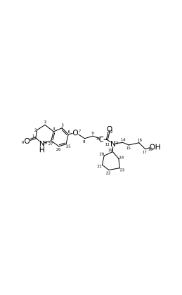 O=C1CCc2cc(OCCCC(=O)N(CCCCO)C3CCCCC3)ccc2N1